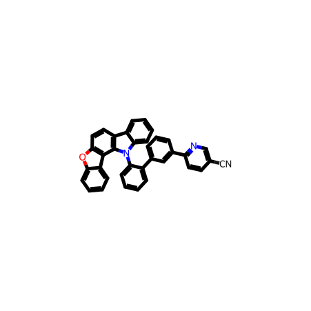 N#Cc1ccc(-c2cccc(-c3ccccc3-n3c4ccccc4c4ccc5oc6ccccc6c5c43)c2)nc1